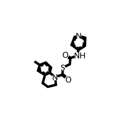 Cc1ccc2c(c1)CCCN2C(=O)SCC(=O)Nc1ccncc1